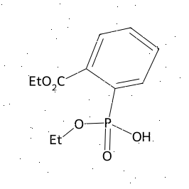 CCOC(=O)c1ccccc1P(=O)(O)OCC